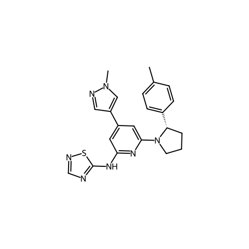 Cc1ccc([C@@H]2CCCN2c2cc(-c3cnn(C)c3)cc(Nc3ncns3)n2)cc1